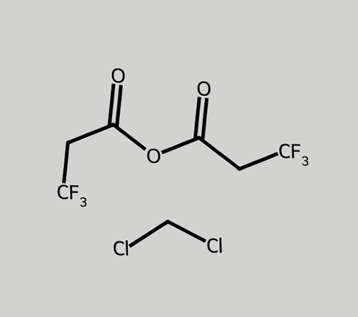 ClCCl.O=C(CC(F)(F)F)OC(=O)CC(F)(F)F